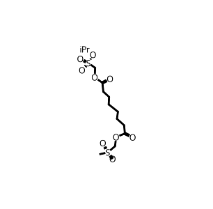 CC(C)OS(=O)(=O)COC(=O)CCCCCCC(=O)OCS(C)(=O)=O